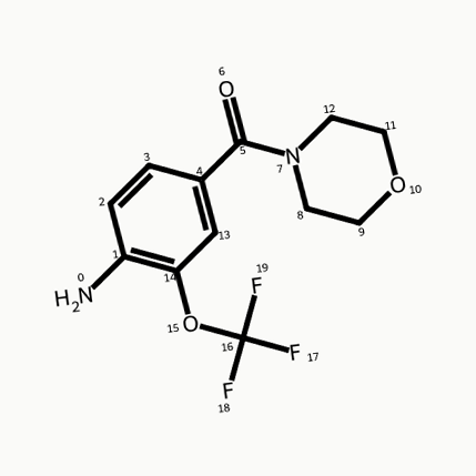 Nc1ccc(C(=O)N2CCOCC2)cc1OC(F)(F)F